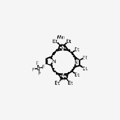 CCC1=C(CC)c2nc1c(CC)c1[nH]c(cc3nc(cc4[nH]c(c2CC)c(CC)c4CC)C=C3)c(CC)c1CC.F[B-](F)(F)F.[Mn]